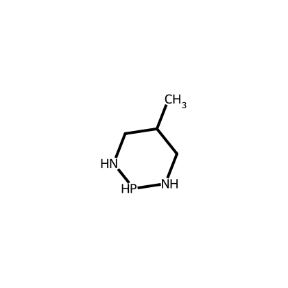 CC1CNPNC1